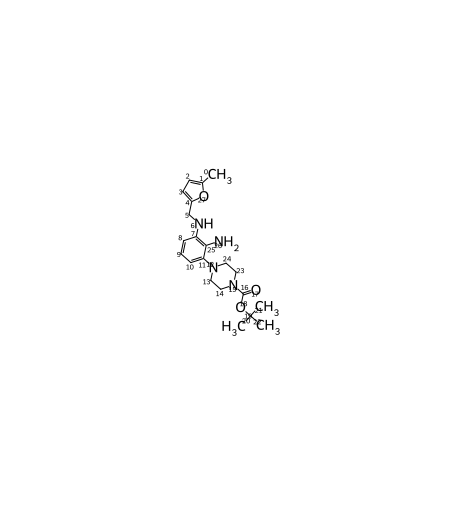 Cc1ccc(CNc2cccc(N3CCN(C(=O)OC(C)(C)C)CC3)c2N)o1